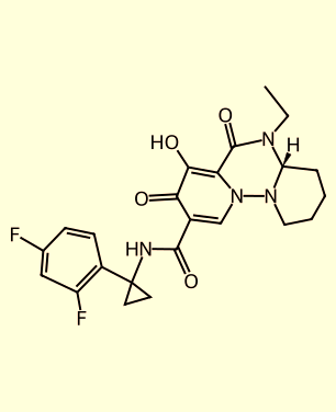 CCN1C(=O)c2c(O)c(=O)c(C(=O)NC3(c4ccc(F)cc4F)CC3)cn2N2CCCC[C@@H]12